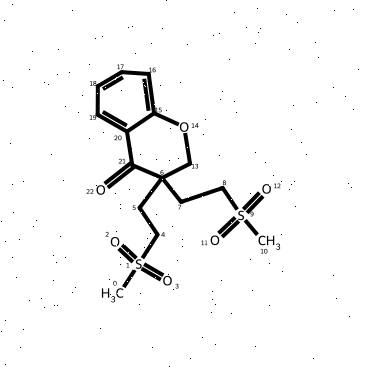 CS(=O)(=O)CCC1(CCS(C)(=O)=O)COc2ccccc2C1=O